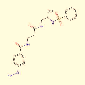 NNc1ccc(C(=O)NCCC(=O)NCC(NS(=O)(=O)c2ccccc2)C(=O)O)cc1